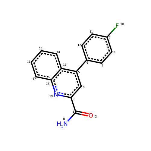 NC(=O)c1cc(-c2ccc(F)cc2)c2ccccc2n1